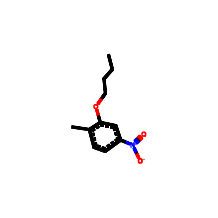 CCCCOc1cc([N+](=O)[O-])ccc1C